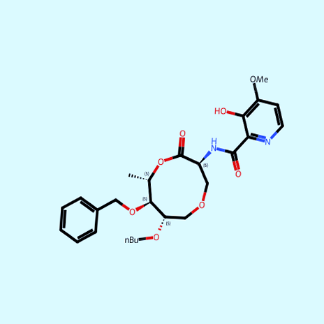 CCCCO[C@H]1COC[C@H](NC(=O)c2nccc(OC)c2O)C(=O)O[C@@H](C)[C@@H]1OCc1ccccc1